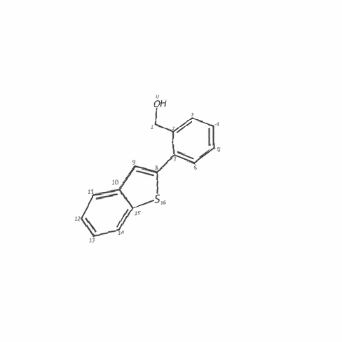 OCc1ccccc1-c1cc2ccccc2s1